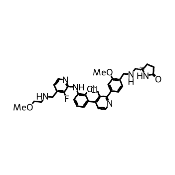 COCCNCc1ccnc(Nc2cccc(-c3ccnc(-c4ccc(CNC[C@H]5CCC(=O)N5)c(OC)c4)c3Cl)c2Cl)c1F